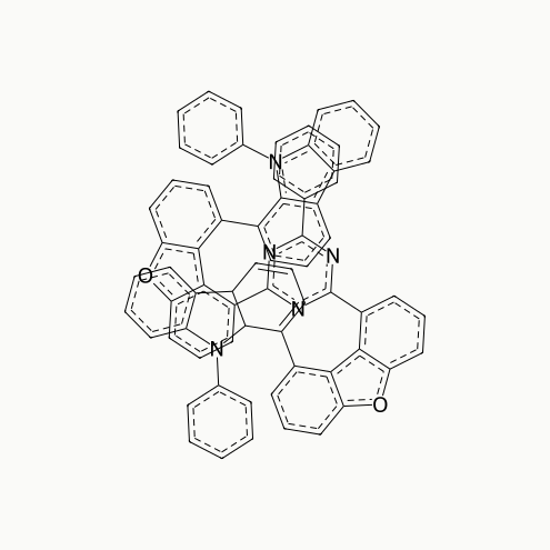 C1=CC2c3ccccc3N(c3ccccc3)C2C(c2cccc3oc4cccc(-c5nc(-c6ccccc6)nc(-c6cccc7oc8cccc(-c9cccc%10c%11ccccc%11n(-c%11ccccc%11)c9%10)c8c67)n5)c4c23)=C1